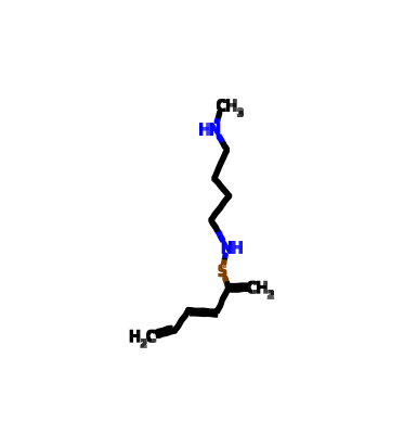 C=C/C=C/C(=C)SNCCCCNC